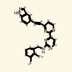 Fc1cccc(CNc2nccc(-c3nccc(C#Cc4ccc5[nH]ncc5c4)n3)n2)c1F